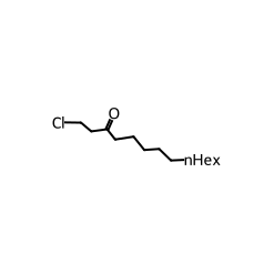 CCCCCCCCCCCC(=O)CCCl